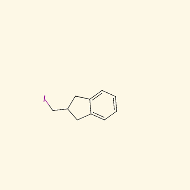 ICC1Cc2ccccc2C1